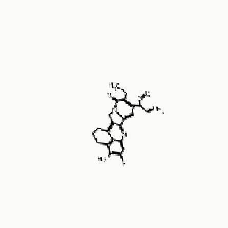 C=CC(N=O)c1cc2n(c(=O)c1CC)Cc1c-2nc2cc(F)c(C)c3c2c1CCC3